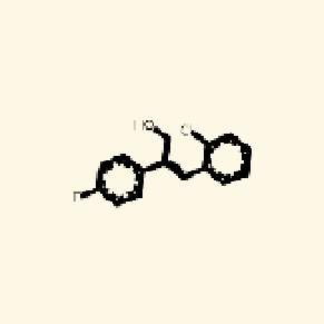 OCC(=Cc1ccccc1Cl)c1ccc(F)cc1